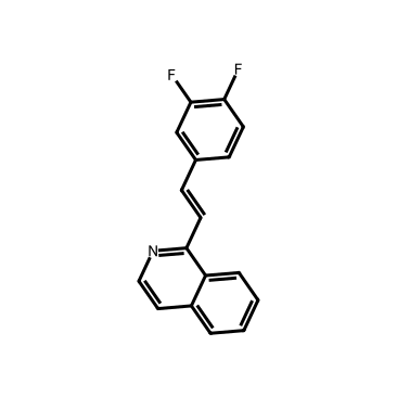 Fc1ccc(/C=C/c2nccc3ccccc23)cc1F